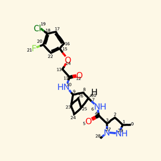 CC1CC(C(=O)N[C@@H]2CC(NC(=O)COc3ccc(Cl)c(F)c3)C3CC2C3)N(C)N1